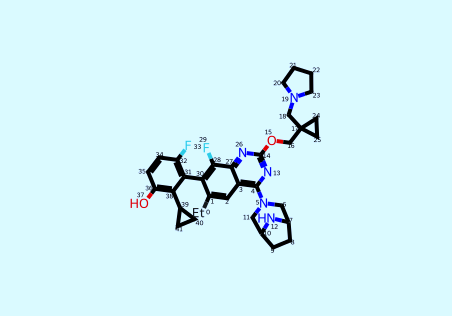 CCc1cc2c(N3CC4CCC(C3)N4)nc(OCC3(CN4CCCC4)CC3)nc2c(F)c1-c1c(F)ccc(O)c1C1CC1